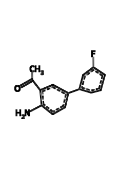 CC(=O)c1cc(-c2cccc(F)c2)ccc1N